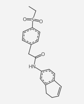 CCS(=O)(=O)c1ccc(CC(=O)Nc2ccc3c(c2)CCC=C3)cc1